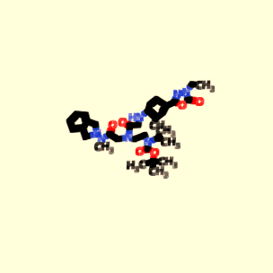 CCn1nc(-c2ccc(NCC(=O)N(CCN(C(=O)OC(C)(C)C)C(C)C)CC(=O)N(C)N3Cc4ccccc4C3)c(C)c2)oc1=O